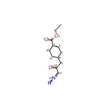 CCOC(=O)C1CCC(CC(=O)C=[N+]=[N-])CC1